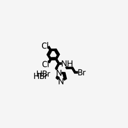 Br.Br.Clc1ccc(C(Cn2ccnc2)NCCCBr)c(Cl)c1